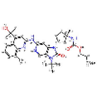 [2H]C([2H])([2H])n1c(=O)n([C@@H]2CC[C@](C)(NC(=O)OCCOC)C2)c2cc(Nc3cc(C(C)(C)O)c4cccc(C(F)(F)F)c4n3)ncc21